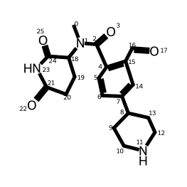 CN(C(=O)c1ccc(C2CCNCC2)cc1C=O)C1CCC(=O)NC1=O